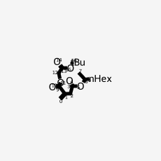 C=C(CC(=O)OC(C)CCCCCC)C(=O)OCC(=O)OC(C)(C)C